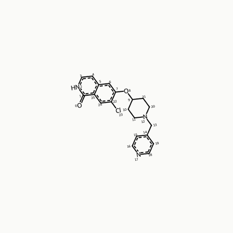 O=c1[nH]ccc2cc(OC3CCN(Cc4ccncc4)CC3)c(Cl)cc12